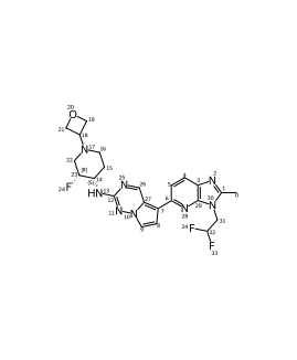 Cc1nc2ccc(-c3ccn4nc(N[C@H]5CCN(C6COC6)C[C@H]5F)ncc34)nc2n1CC(F)F